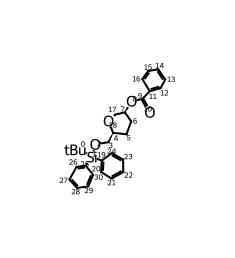 CC(C)(C)[Si](OC[C@@H]1CC[C@H](OC(=O)c2ccccc2)CO1)(c1ccccc1)c1ccccc1